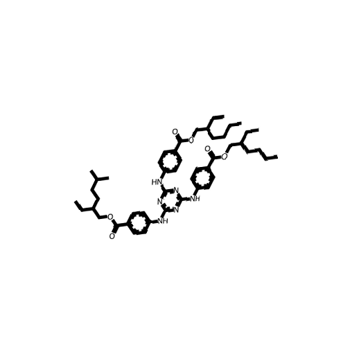 CCCCC(CC)COC(=O)c1ccc(Nc2nc(Nc3ccc(C(=O)OCC(CC)CCCC)cc3)nc(Nc3ccc(C(=O)OCC(CC)CCC(C)C)cc3)n2)cc1